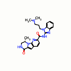 C[C@H]1CNC(=O)c2cc3ccc(C(=O)Nc4nc5ccccc5n4CCCN(C)C)nc3n21